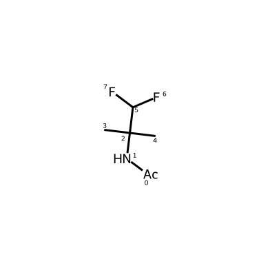 CC(=O)NC(C)(C)C(F)F